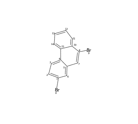 Brc1ccc2c(c1)cc(Br)c1ccccc12